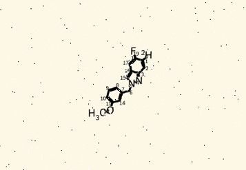 [2H]c1cc2nn(Cc3cccc(OC)c3)cc2cc1F